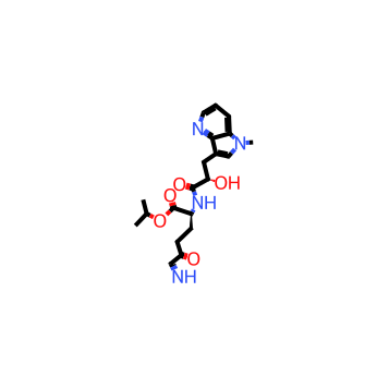 CC(C)OC(=O)[C@H](CCC(=O)C=N)NC(=O)[C@@H](O)Cc1cn(C)c2cccnc12